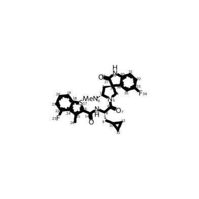 CN[C@@H]1C[C@@]2(CN1C(=O)[C@H](CC1CC1)NC(=O)c1sc3cccc(F)c3c1C)C(=O)Nc1ccc(F)cc12